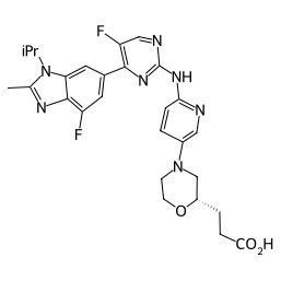 Cc1nc2c(F)cc(-c3nc(Nc4ccc(N5CCO[C@@H](CCC(=O)O)C5)cn4)ncc3F)cc2n1C(C)C